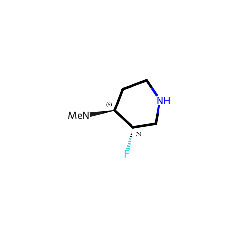 CN[C@H]1CCNC[C@@H]1F